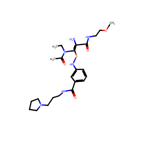 CCN(C(C)=O)/C(SNc1cccc(C(=O)NCCCN2CCCC2)c1)=C(\N)C(=O)NCCOC